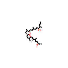 C/C=C/C(C)C(O)/C=C/C(C)=C/CC1O[C@]2(CCC1C)CCC(CCCC)C(/C=C/C(C)=C/CC(=O)CC)O2